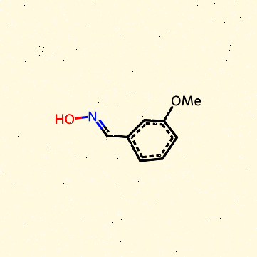 COc1cccc([C]=NO)c1